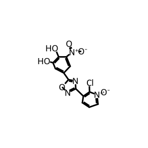 O=[N+]([O-])c1cc(-c2nc(-c3ccc[n+]([O-])c3Cl)no2)cc(O)c1O